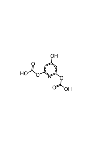 O=C(O)Oc1cc(O)cc(OC(=O)O)n1